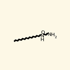 CCCCCCCCCCCCCCCCNC(=O)CCN